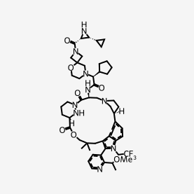 CO[C@@H](C)c1ncccc1-c1c2c3cc(ccc3n1CC(F)(F)F)[C@@H]1CCN(C1)C[C@H](NC(=O)[C@H](C1CCCC1)N1CCOC3(CN(C(=O)[C@@H]4N[C@@H]4C4CC4)C3)C1)C(=O)N1CCC[C@H](N1)C(=O)OCC(C)(C)C2